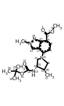 COC(=O)c1ccc(N2C[C@@H](C)[C@H](NC(=O)OC(C)(C)C)C2)c2cn(C)nc12